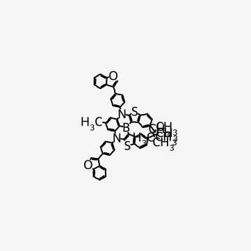 Cc1cc2c3c(c1)N(c1ccc(-c4coc5ccccc45)cc1)c1sc4ccc(C(C)(C)C)cc4c1B3c1c(sc3ccc(C(C)(C)C)cc13)N2c1ccc(-c2coc3ccccc23)cc1